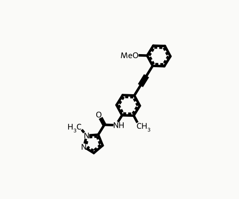 COc1ccccc1C#Cc1ccc(NC(=O)c2ccnn2C)c(C)c1